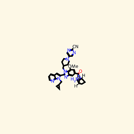 COc1cc(C(=O)N2C[C@H]3CC[C@@H]2[C@@H]3N)cc2nc(-c3cc4cccnc4n3CC3CC3)n(CC3CCN(c4cnc(C#N)nc4)CC3)c12